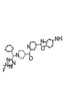 CC(=O)Nc1ccc2oc(-c3ccnc(C(=O)C4CCN(C(c5ccccc5)c5nnn(C(F)F)n5)CC4)c3)nc2c1